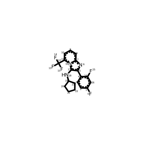 Fc1ccc(-c2nc3cccc(C(F)(F)F)n3c2NC2CCCC2)c(F)c1